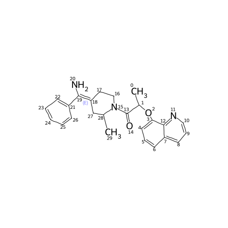 CC(Oc1cccc2cccnc12)C(=O)N1CC/C(=C(\N)c2ccccc2)CC1C